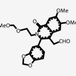 COCOCCn1c(-c2ccc3c(c2)OCO3)c(CC=O)c2cc(OC)c(OC)cc2c1=O